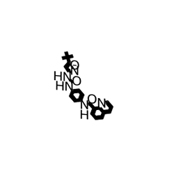 CC(C)(C)c1cc(NC(=O)Nc2ccc(NC(=O)c3cccc4cccnc34)cc2)no1